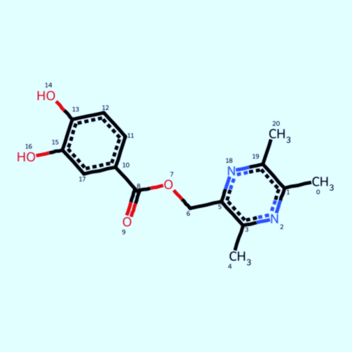 Cc1nc(C)c(COC(=O)c2ccc(O)c(O)c2)nc1C